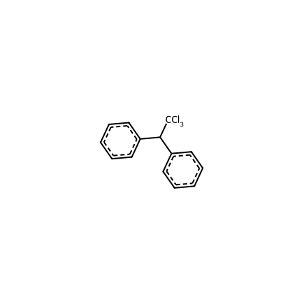 ClC(Cl)(Cl)C(c1ccccc1)c1ccccc1